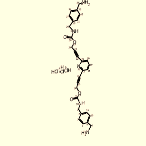 Cl.Cl.Cl.NCc1ccc(CNC(=O)OCC#Cc2cccc(C#CCOC(=O)NCc3ccc(CN)cc3)n2)cc1